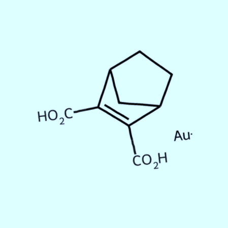 O=C(O)C1=C(C(=O)O)C2CCC1C2.[Au]